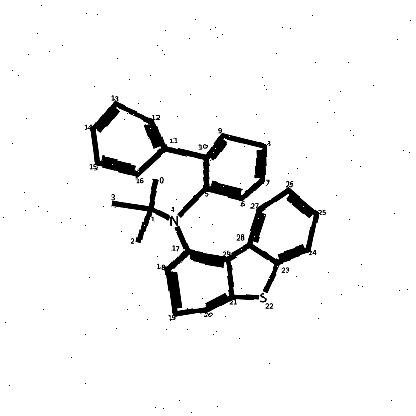 CC(C)(C)N(c1ccccc1-c1ccccc1)c1cccc2sc3ccccc3c12